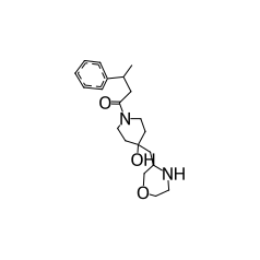 CC(CC(=O)N1CCC(O)(CC2COCCN2)CC1)c1ccccc1